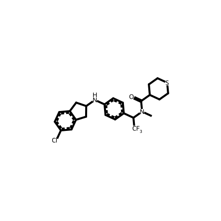 CN(C(=O)C1CCSCC1)C(c1ccc(NC2Cc3ccc(Cl)cc3C2)cc1)C(F)(F)F